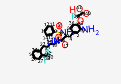 Nc1cc(C[C@H](NS(=O)(=O)c2ccccc2)C(=O)NCCCCc2ccccc2C(F)(F)F)ccc1OC(F)C(=O)O